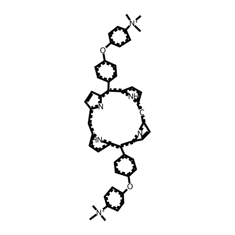 C[N+](C)(C)c1ccc(Oc2ccc(-c3c4nc(cc5ccc([nH]5)c(-c5ccc(Oc6ccc([N+](C)(C)C)cc6)cc5)c5nc(cc6ccc3[nH]6)C=C5)C=C4)cc2)cc1